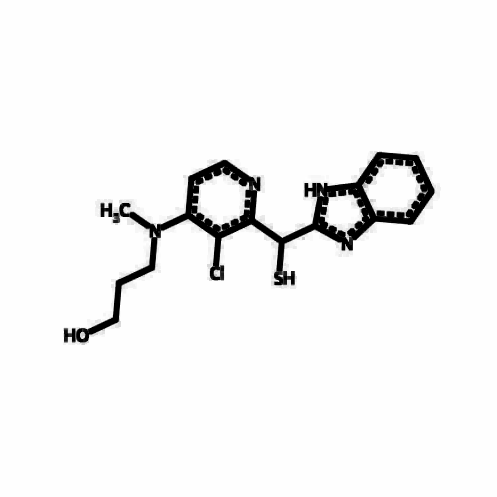 CN(CCCO)c1ccnc(C(S)c2nc3ccccc3[nH]2)c1Cl